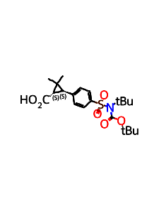 CC(C)(C)OC(=O)N(C(C)(C)C)S(=O)(=O)c1ccc([C@H]2[C@H](C(=O)O)C2(C)C)cc1